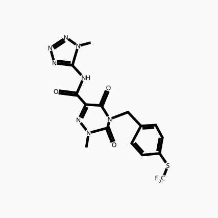 Cn1nnnc1NC(=O)c1nn(C)c(=O)n(Cc2ccc(SC(F)(F)F)cc2)c1=O